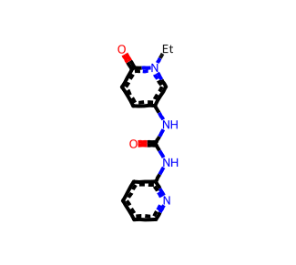 CCn1cc(NC(=O)Nc2ccccn2)ccc1=O